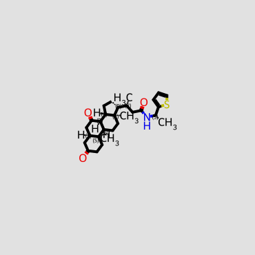 C[C@H](NC(=O)C[C@@H](C)[C@H]1CC[C@H]2[C@@H]3C(=O)C[C@@H]4CC(=O)CC[C@]4(C)[C@H]3CC[C@]12C)c1cccs1